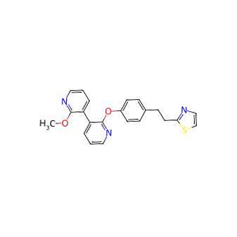 COc1ncccc1-c1cccnc1Oc1ccc(CCc2nccs2)cc1